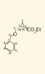 CCOC(=O)[C@@H]1C[C@H]1COCc1ccccc1